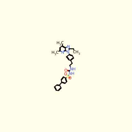 CCc1nc2c(C)cc(C)nc2n1-c1ccc(CCNC(=O)NS(=O)(=O)c2ccc(-c3ccccc3)cc2)cc1